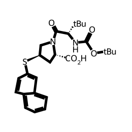 CC(C)(C)OC(=O)N[C@H](C(=O)N1C[C@H](Sc2ccc3ccccc3c2)C[C@H]1C(=O)O)C(C)(C)C